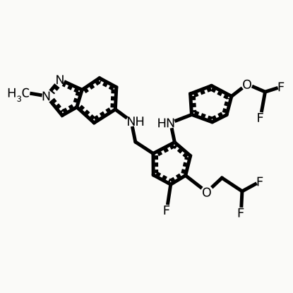 Cn1cc2cc(NCc3cc(F)c(OCC(F)F)cc3Nc3ccc(OC(F)F)cc3)ccc2n1